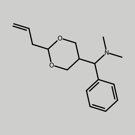 C=CCC1OCC(C(c2ccccc2)N(C)C)CO1